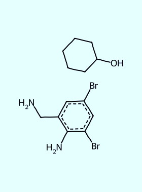 NCc1cc(Br)cc(Br)c1N.OC1CCCCC1